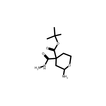 CC(C)(C)OC(=O)C1(C(=O)NN)CCOC(N)C1